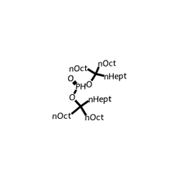 CCCCCCCCC(CCCCCCC)(CCCCCCCC)O[PH](=O)OC(CCCCCCC)(CCCCCCCC)CCCCCCCC